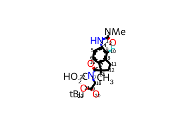 CNC(=O)Nc1ccc2c(c1F)CCC2(C)C(=O)N(CC(=O)OC(C)(C)C)C(=O)O